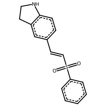 O=S(=O)(/C=C/c1ccc2c(c1)CCN2)c1ccccc1